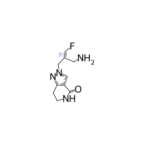 NC/C(=C\F)Cn1cc2c(n1)CCNC2=O